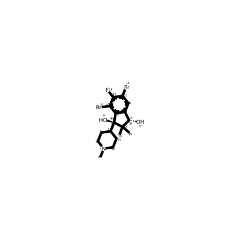 CN1CCC([C@]2(O)c3c(cc(Br)c(F)c3Br)[C@H](O)C2(C)C)CC1